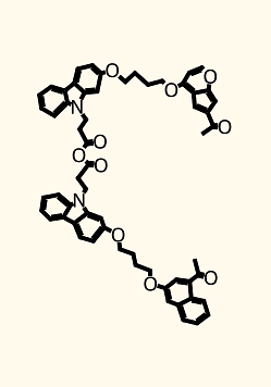 CC(=O)c1cc2occc(OCCCCOc3ccc4c5ccccc5n(CCC(=O)OC(=O)CCn5c6ccccc6c6ccc(OCCCCOc7cc(C(C)=O)c8ccccc8c7)cc65)c4c3)c-2c1